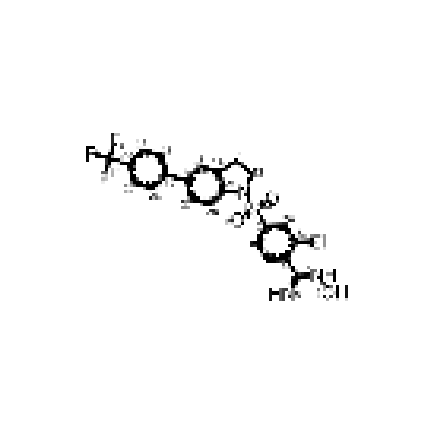 N=C(NO)c1ccc(S(=O)(=O)N2CCc3cc(-c4ccc(C(F)(F)F)cc4)ccc32)cc1Cl